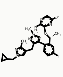 Cc1nn(CC2CC2)cc1Cc1nn(C)nc1-c1ccc(F)cc1[C@@H](C)Oc1nc(Br)cnc1N